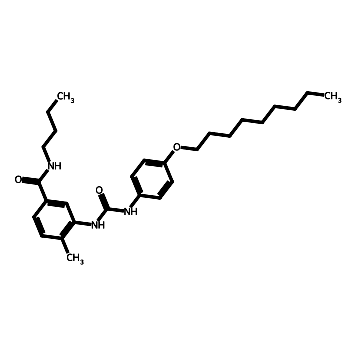 CCCCCCCCCOc1ccc(NC(=O)Nc2cc(C(=O)NCCCC)ccc2C)cc1